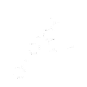 CCC(COC)NC(=O)[C@H](Cc1ccc(OCc2ccccc2)cc1)NC(=O)[C@H](CC(C)C)N(C)C